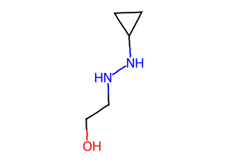 OCCNNC1CC1